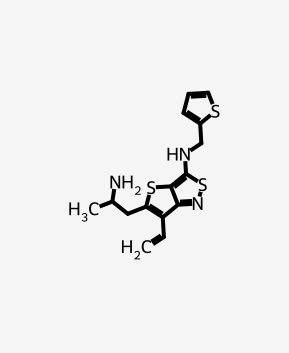 C=Cc1c(CC(C)N)sc2c(NCc3cccs3)snc12